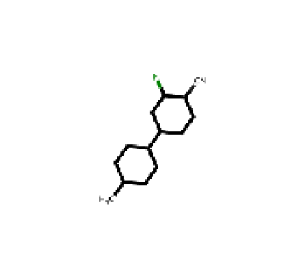 CC1CCC(C2CCC(C#N)C(F)C2)CC1